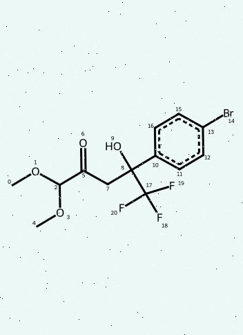 COC(OC)C(=O)CC(O)(c1ccc(Br)cc1)C(F)(F)F